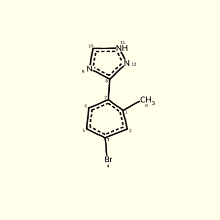 Cc1cc(Br)ccc1-c1nc[nH]n1